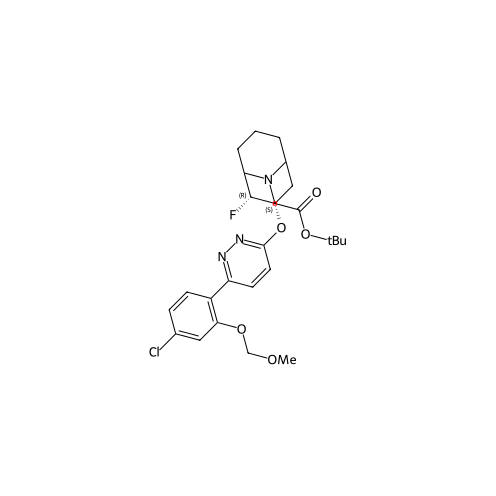 COCOc1cc(Cl)ccc1-c1ccc(O[C@H]2CC3CCCC([C@H]2F)N3CC(=O)OC(C)(C)C)nn1